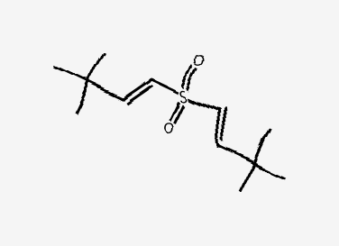 CC(C)(C)C=CS(=O)(=O)C=CC(C)(C)C